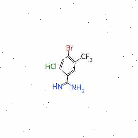 Cl.N=C(N)c1ccc(Br)c(C(F)(F)F)c1